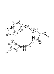 CO[C@@H]1C[C@H]2COc3ccn4ncc(c4n3)-c3cc(F)cc(c3)NCCN2C1=O